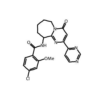 COc1cc(Cl)ccc1C(=O)NC1CCCCn2c1nc(-c1ccncn1)cc2=O